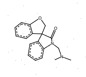 CN(C)CN1C(=O)C2(COc3ccccc32)c2ccccc21